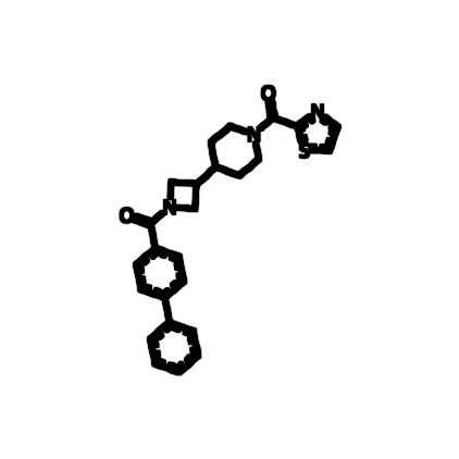 O=C(c1ccc(-c2ccccc2)cc1)N1CC(C2CCN(C(=O)c3nccs3)CC2)C1